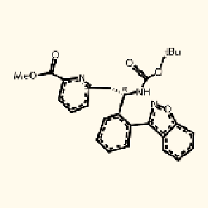 COC(=O)c1cccc(C[C@H](NC(=O)OC(C)(C)C)c2ccccc2-c2noc3ccccc23)n1